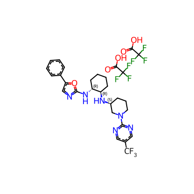 FC(F)(F)c1cnc(N2CCC[C@H](N[C@@H]3CCCC[C@H]3Nc3ncc(-c4ccccc4)o3)C2)nc1.O=C(O)C(F)(F)F.O=C(O)C(F)(F)F